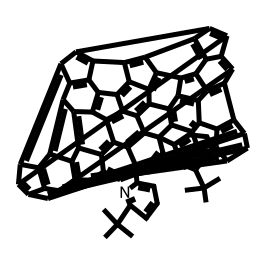 CC(C)(C)c1cccc(C23C=CC4(c5cccc(C(C)(C)C)n5)c5c2c2c6c7c3c3c8c4c4c9c5c5c2c2c%10c6c6c%11c7c7c3c3c8c8c4c4c%12c9c9c5c2c2c5c%10c6c6c%10c%11c7c7c3c3c8c4c4c8c%12c9c2c2c5c6c5c%10c7c3c4c5c82)n1